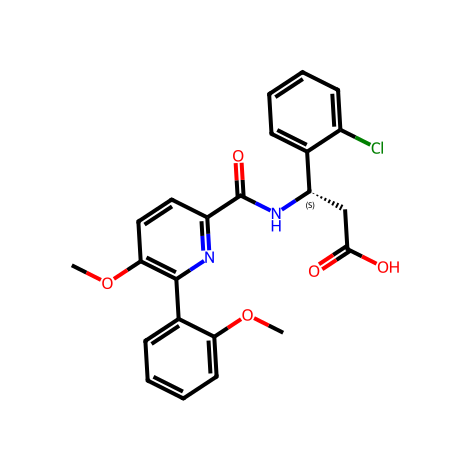 COc1ccccc1-c1nc(C(=O)N[C@@H](CC(=O)O)c2ccccc2Cl)ccc1OC